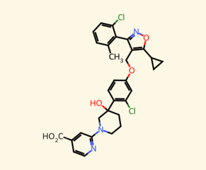 Cc1cccc(Cl)c1-c1noc(C2CC2)c1COc1ccc(C2(O)CCCN(c3cc(C(=O)O)ccn3)C2)c(Cl)c1